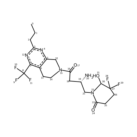 CCCc1nc2c(c(C(F)(F)F)n1)CCN(C(=O)C[C@H](N)CN1C(=O)CCC(F)(F)C1O)C2